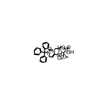 CONC1=CCN(C(c2ccccc2)(c2ccccc2)c2ccccc2)C(=O)N1CC(C)O[C@H](OC)P(=O)(O)O